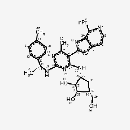 CCCc1nccc2sc(-c3c(C)nc(N[C@H](C)c4ccc(C)cc4)nc3N[C@@H]3C[C@H](CO)[C@@H](O)[C@H]3O)nc12